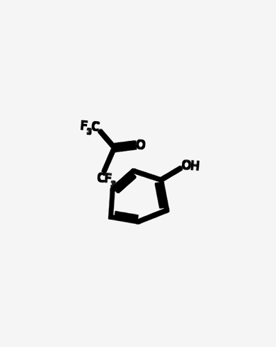 O=C(C(F)(F)F)C(F)(F)F.Oc1ccccc1